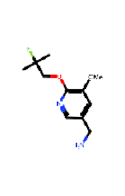 COc1cc(CN)cnc1OCC(C)(C)F